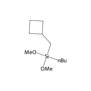 CCCC[Si](CC1CCC1)(OC)OC